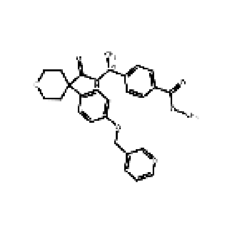 COC(=O)c1ccc([C@H](C)NC(=O)C2(c3ccc(OCc4cccnc4)cc3)CCOCC2)cc1